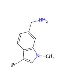 CC(C)c1cn(C)c2cc(CN)ccc12